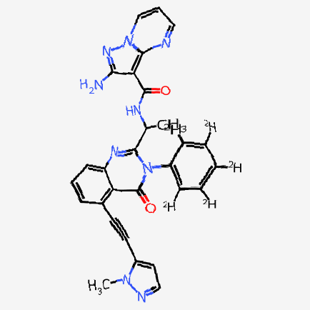 [2H]c1c([2H])c([2H])c(-n2c(C(C)NC(=O)c3c(N)nn4cccnc34)nc3cccc(C#Cc4ccnn4C)c3c2=O)c([2H])c1[2H]